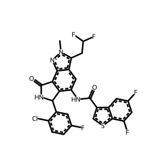 Cn1nc2c3c(c(NC(=O)c4csc5c(F)cc(F)cc45)cc2c1CC(F)F)C(c1cc(F)ccc1Cl)NC3=O